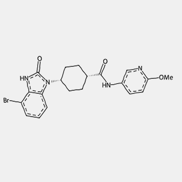 COc1ccc(NC(=O)[C@H]2CC[C@@H](n3c(=O)[nH]c4c(Br)cccc43)CC2)cn1